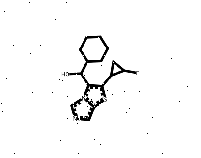 OC(c1c(C2CC2F)sc2cncn12)C1CCCCC1